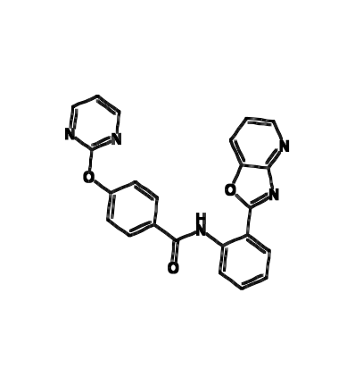 O=C(Nc1ccccc1-c1nc2ncccc2o1)c1ccc(Oc2ncccn2)cc1